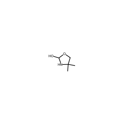 CC1(C)COC(O)N1